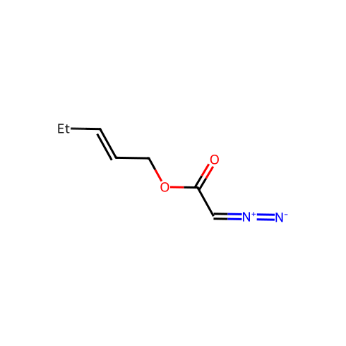 CCC=CCOC(=O)C=[N+]=[N-]